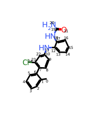 Cc1ccccc1-c1ccc(Nc2ccccc2NC(N)=O)cc1Cl